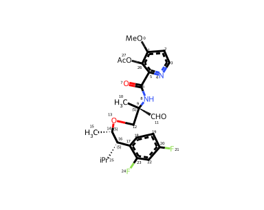 COc1ccnc(C(=O)N[C@](C)(C=O)CO[C@@H](C)[C@H](c2ccc(F)cc2F)C(C)C)c1OC(C)=O